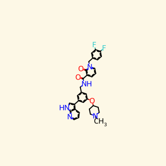 CN1CCC(Oc2cc(CNC(=O)c3cccn(Cc4ccc(F)c(F)c4)c3=O)cc(-c3c[nH]c4ncccc34)c2)CC1